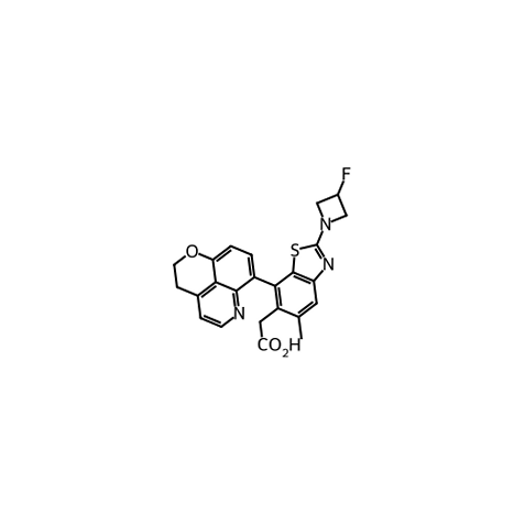 Cc1cc2nc(N3CC(F)C3)sc2c(-c2ccc3c4c(ccnc24)CCO3)c1CC(=O)O